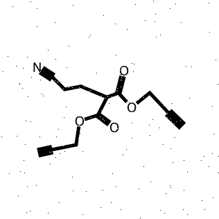 C#CCOC(=O)C(CCC#N)C(=O)OCC#C